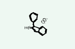 [Cl-].[Cl-].[Hf+2][C]1=Cc2ccccc2C1c1ccccc1